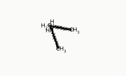 [CH2]C(CCNCCCCCCCCCCCCCC)NCCCCCCCCCCCCCC